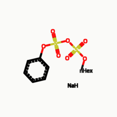 CCCCCCOS(=O)(=O)OS(=O)(=O)Oc1ccccc1.[NaH]